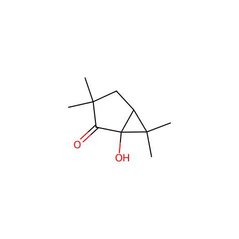 CC1(C)CC2C(C)(C)C2(O)C1=O